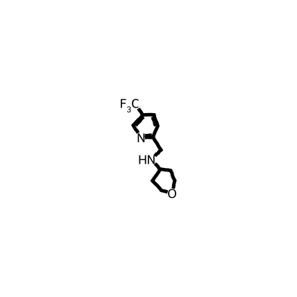 FC(F)(F)c1ccc(CNC2CCOCC2)nc1